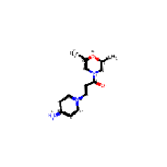 CC1CN(C(=O)CCN2CCC(N)CC2)CC(C)O1